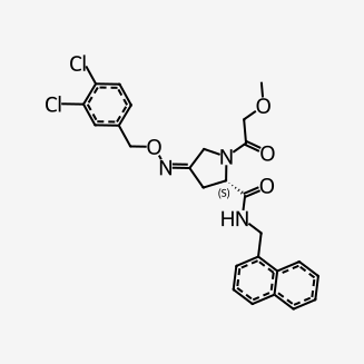 COCC(=O)N1CC(=NOCc2ccc(Cl)c(Cl)c2)C[C@H]1C(=O)NCc1cccc2ccccc12